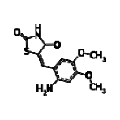 COc1cc(N)c(/C=C2/SC(=O)NC2=O)cc1OC